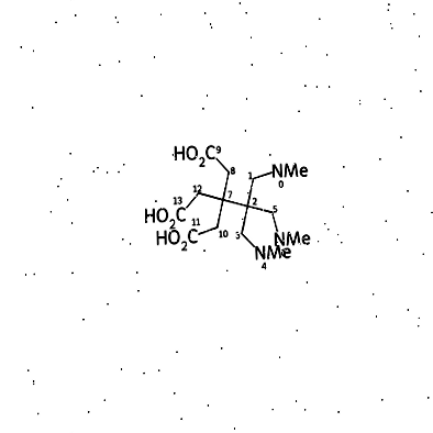 CNCC(CNC)(CNC)C(CC(=O)O)(CC(=O)O)CC(=O)O